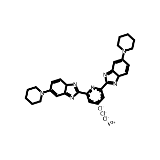 C1=CC2N=C(c3cccc(C4=NC5C=CC(N6CCCCC6)=CC5=N4)n3)N=C2C=C1N1CCCCC1.[Cl-].[Cl-].[Cl-].[V+3]